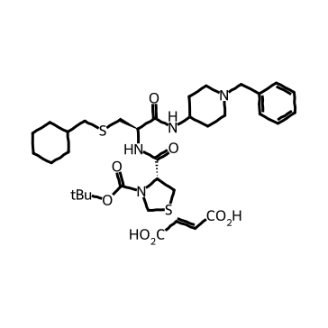 CC(C)(C)OC(=O)N1CSC[C@H]1C(=O)N[C@@H](CSCC1CCCCC1)C(=O)NC1CCN(Cc2ccccc2)CC1.O=C(O)/C=C/C(=O)O